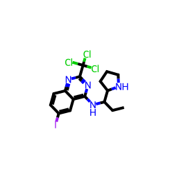 CCC(Nc1nc(C(Cl)(Cl)Cl)nc2ccc(I)cc12)C1CCCN1